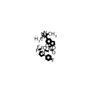 Cc1nnn(C)c1-c1ccc2c(c1)CCC21OC(=O)N(CC(=O)N2[C@H](c3ccc(F)cc3)CC[C@@H]2C(F)(F)F)C1=O